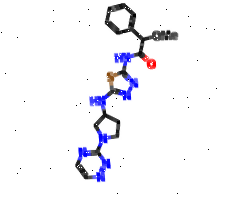 COC(C(=O)Nc1nnc(NC2CCN(c3nccnn3)C2)s1)c1ccccc1